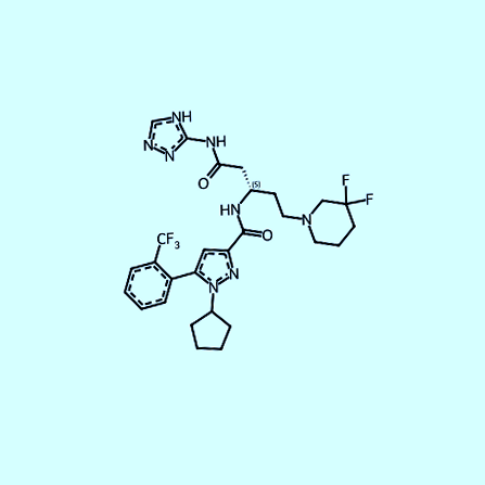 O=C(C[C@H](CCN1CCCC(F)(F)C1)NC(=O)c1cc(-c2ccccc2C(F)(F)F)n(C2CCCC2)n1)Nc1nnc[nH]1